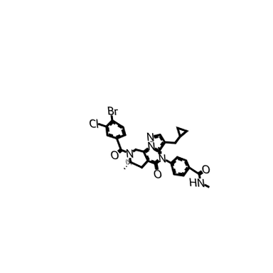 CNC(=O)c1ccc(-n2c(=O)c3c(n4ncc(CC5CC5)c24)CN(C(=O)c2ccc(Br)c(Cl)c2)[C@@H](C)C3)cc1